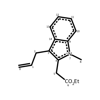 C=CCc1c(CC(=O)OCC)n(C)c2ccccc12